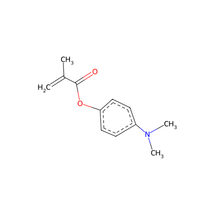 C=C(C)C(=O)Oc1ccc(N(C)C)cc1